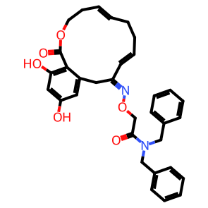 O=C1OCC/C=C/CC/C=C/C(=NOCC(=O)N(Cc2ccccc2)Cc2ccccc2)Cc2cc(O)cc(O)c21